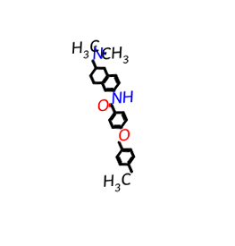 CCc1ccc(COc2ccc(C(=O)Nc3ccc4c(c3)CCC(CN(C)C)C4)cc2)cc1